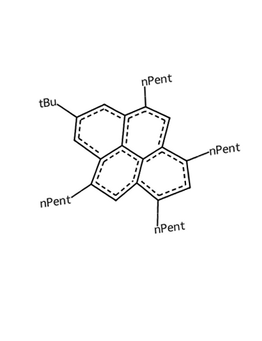 CCCCCc1cc2c(CCCCC)cc(CCCCC)c3cc(CCCCC)c4cc(C(C)(C)C)cc1c4c23